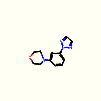 c1cc(N2CCOCC2)cc(-n2nccn2)c1